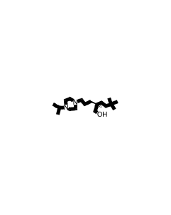 CC(C)N1CCN(CCC[C@H](CO)CCC(C)(C)C)CC1